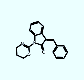 O=C1/C(=C\c2ccccc2)c2ccccc2N1C1=NCCCS1